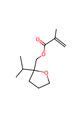 C=C(C)C(=O)OCC1(C(C)C)CCCO1